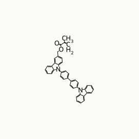 C=C(C)C(=O)OCc1ccc2c(c1)c1ccccc1n2-c1ccc(-c2ccc(-n3c4ccccc4c4ccccc43)cc2)cc1